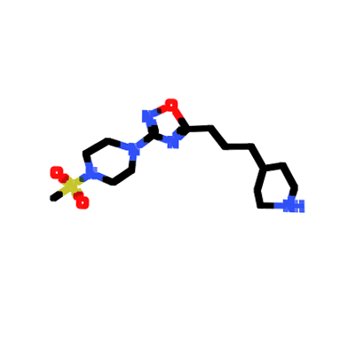 CS(=O)(=O)N1CCN(c2noc(CCCC3CCNCC3)n2)CC1